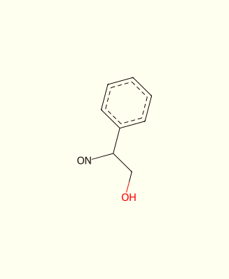 O=NC(CO)c1ccccc1